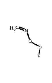 C=NOOF